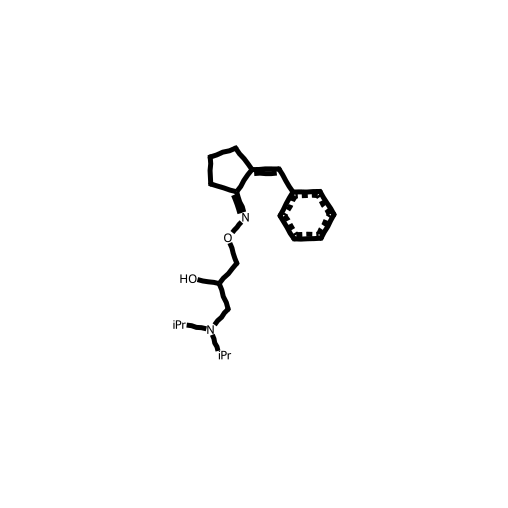 CC(C)N(CC(O)CO/N=C1\CCC\C1=C\c1ccccc1)C(C)C